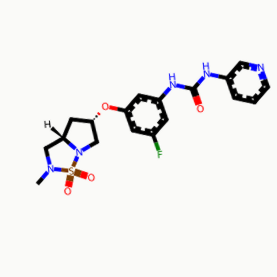 CN1C[C@@H]2C[C@H](Oc3cc(F)cc(NC(=O)Nc4cccnc4)c3)CN2S1(=O)=O